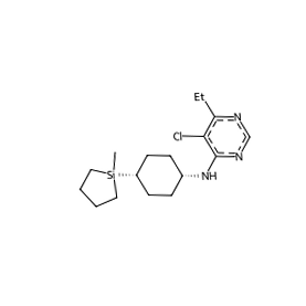 CCc1ncnc(N[C@H]2CC[C@@H]([Si]3(C)CCCC3)CC2)c1Cl